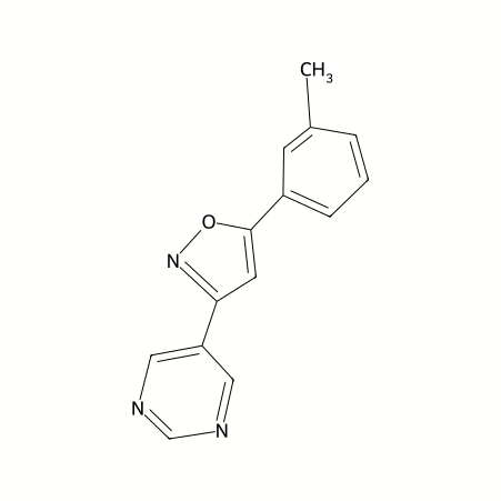 Cc1cccc(-c2cc(-c3cncnc3)no2)c1